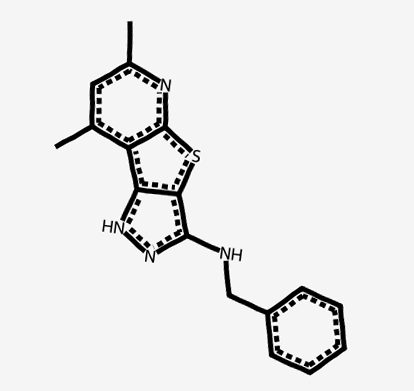 Cc1cc(C)c2c(n1)sc1c(NCc3ccccc3)n[nH]c12